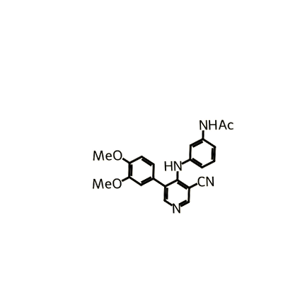 COc1ccc(-c2cncc(C#N)c2Nc2cccc(NC(C)=O)c2)cc1OC